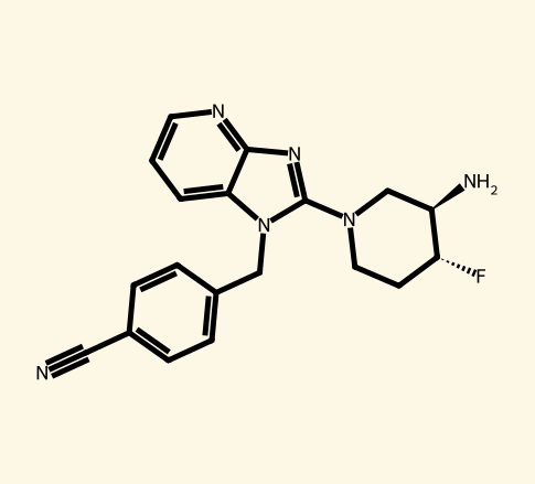 N#Cc1ccc(Cn2c(N3CC[C@@H](F)[C@H](N)C3)nc3ncccc32)cc1